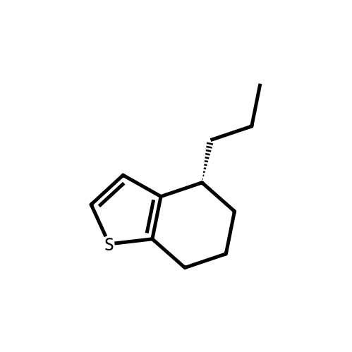 CCC[C@@H]1CCCc2sccc21